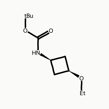 CCO[C@H]1C[C@@H](NC(=O)OC(C)(C)C)C1